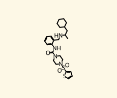 CC(CC1CCCCC1)NCc1ccccc1NC(=O)N1CCN(S(=O)(=O)c2cccs2)CC1